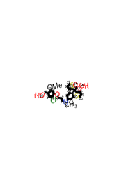 COc1cc(OCCCN(C)[C@H]2CC[C@H](C(C(=O)OO)(c3cccs3)c3cccs3)CC2)c(Cl)cc1CO